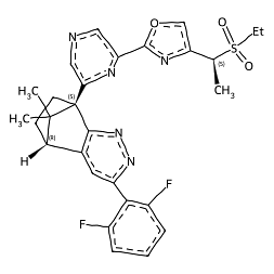 CCS(=O)(=O)[C@@H](C)c1coc(-c2cncc([C@@]34CC[C@@H](c5cc(-c6c(F)cccc6F)nnc53)C4(C)C)n2)n1